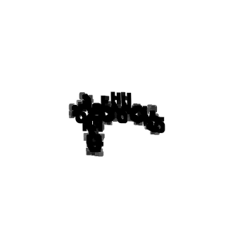 CCN1CC(C)(C)Oc2nc(N3CC4CCC(C3)O4)nc(-c3ccc(NC(=O)Nc4ccc(N5CCOCC5C)nc4)c(F)c3)c2C1=O